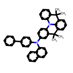 CC1(C)c2ccccc2N2c3ccc(N(c4ccc(-c5ccccc5)cc4)c4cccc5ccccc45)cc3C(C)(C)c3cccc1c32